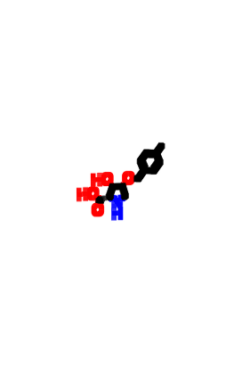 Cc1ccc(CO[C@H]2CN[C@H](C(=O)O)[C@@H]2O)cc1